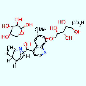 C=C[C@H]1C[N@]2CC[C@H]1C[C@@H]2[C@@H](O)c1ccnc2ccc(OC)cc12.O=C(O)[C@H](O)[C@@H](O)[C@H](O)[C@H](O)CO.OC1OC[C@@H](O)[C@H](O)[C@H]1O